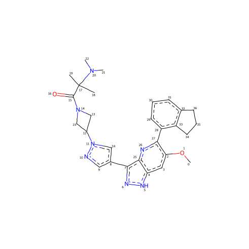 COc1cc2[nH]nc(-c3cnn(C4CN(C(=O)C(C)(C)N(C)C)C4)c3)c2nc1-c1cccc2c1CCC2